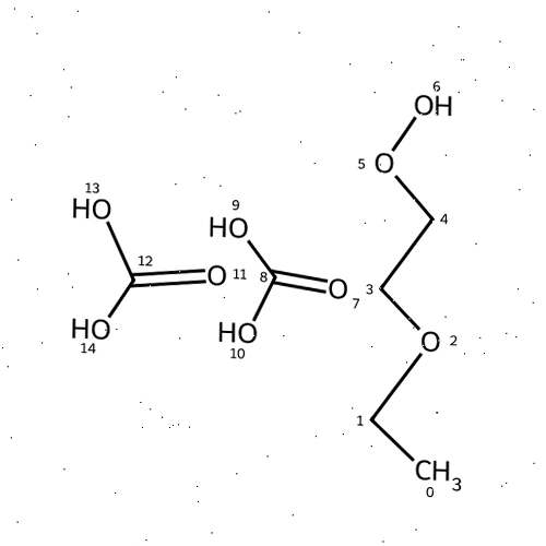 CCOCCOO.O=C(O)O.O=C(O)O